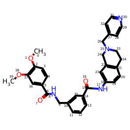 COc1ccc(C(=O)NCc2cccc(C(=O)Nc3ccc4c(c3)CN(Cc3ccncc3)CC4)c2)cc1OC